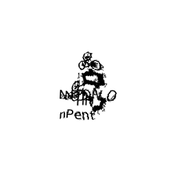 CCCCCc1cc(=O)n(-c2ccc(S(=O)(=O)[O-])cc2S(=O)(=O)[O-])[nH]1.[Na+].[Na+]